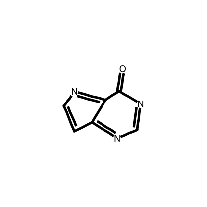 O=C1N=CN=C2C=CN=C12